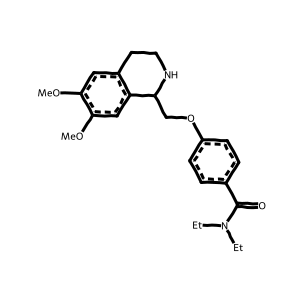 CCN(CC)C(=O)c1ccc(OCC2NCCc3cc(OC)c(OC)cc32)cc1